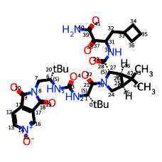 CC(C)(C)[C@H](NC(=O)N[C@H](CN1C(=O)c2cc[n+]([O-])cc2C1=O)C(C)(C)C)C(=O)N1C[C@H]2[C@@H]([C@H]1C(=O)NC(CC1CCC1)C(=O)C(N)=O)C2(C)C